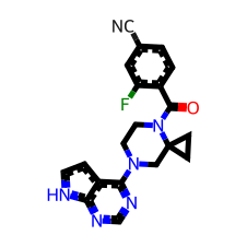 N#Cc1ccc(C(=O)N2CCN(c3ncnc4[nH]ccc34)CC23CC3)c(F)c1